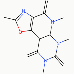 C=C1C2c3oc(C)nc3C(=C)N(C)C2N(C)C(=C)N1C